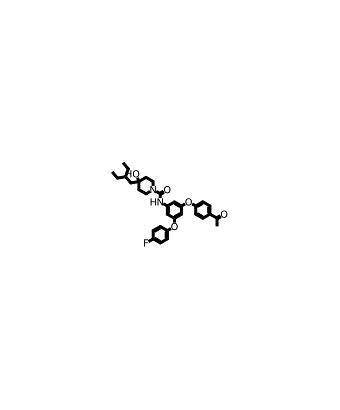 CCC(CC)CC1(O)CCN(C(=O)Nc2cc(Oc3ccc(F)cc3)cc(Oc3ccc(C(C)=O)cc3)c2)CC1